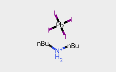 CCCC[NH2+]CCCC.[I][Pb]([I])([I])[I]